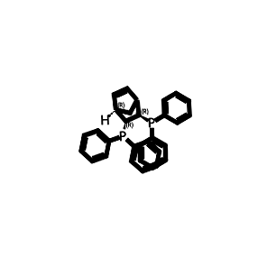 C1=C[C@H]2CC1[C@@H](P(c1ccccc1)c1ccccc1)[C@@H]2P(c1ccccc1)c1ccccc1